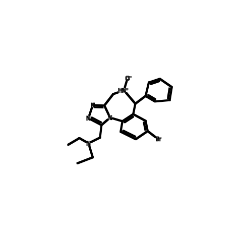 CCN(CC)Cc1nnc2n1-c1ccc(Br)cc1C(c1ccccc1)[NH+]([O-])C2